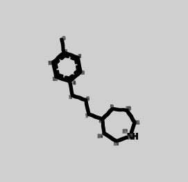 Cc1ccc(CCCC2CCCNCC2)cc1